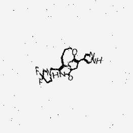 O=C1NC(CN2CCC(F)(F)C2)=C2CCCOC3=C(c4cn[nH]c4)CC1=S23